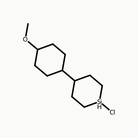 COC1CCC(C2CC[SiH](Cl)CC2)CC1